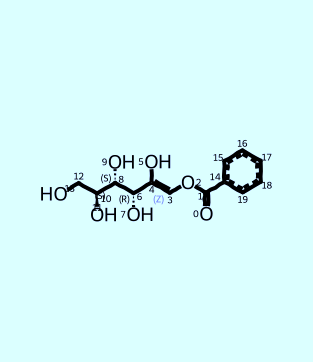 O=C(O/C=C(\O)[C@H](O)[C@@H](O)[C@@H](O)CO)c1ccccc1